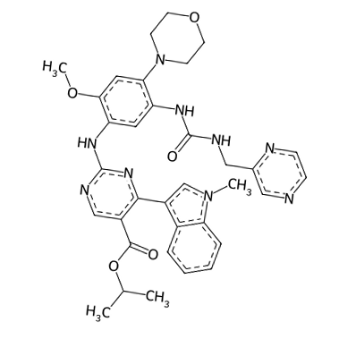 COc1cc(N2CCOCC2)c(NC(=O)NCc2cnccn2)cc1Nc1ncc(C(=O)OC(C)C)c(-c2cn(C)c3ccccc23)n1